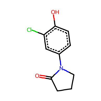 O=C1CCCN1c1ccc(O)c(Cl)c1